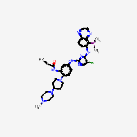 C=CC(=O)Nc1cc(Nc2ncc(Br)c(Nc3ccc4nccnc4c3P(C)C)n2)ccc1N1CCC(N2CCN(C)CC2)CC1